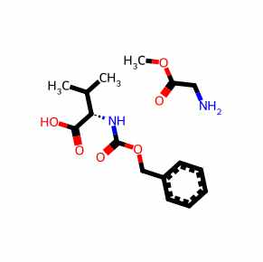 CC(C)[C@H](NC(=O)OCc1ccccc1)C(=O)O.COC(=O)CN